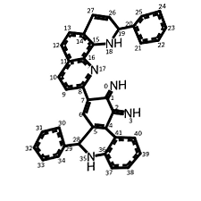 N=C1C(=N)C2=C(C=C1c1ccc3ccc4c(c3n1)NC(c1ccccc1)C=C4)C(c1ccccc1)Nc1ccccc12